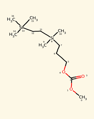 COC(=O)OCCC[Si](C)(C)CC[Si](C)(C)C